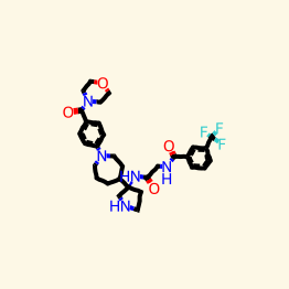 O=C(CNC(=O)c1cccc(C(F)(F)F)c1)N[C@@]1(C2CCCN(c3ccc(C(=O)N4CCOCC4)cc3)CC2)CCNC1